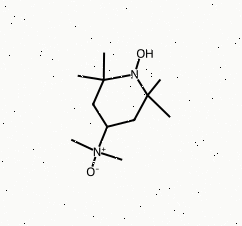 CC1(C)CC([N+](C)(C)[O-])CC(C)(C)N1O